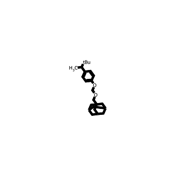 CC(c1ccc(OCOCC23CC4CC(CC(C4)C2)C3)cc1)C(C)(C)C